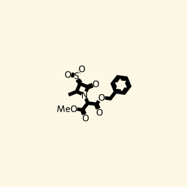 COC(=O)C(C(=O)OCc1ccccc1)N1C(=O)C(=S(=O)=O)C1C